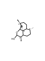 C[C@H]1C(O)OC2O[C@@]3(C)CCC4[C@H](C)CCC1[C@@]24OO3